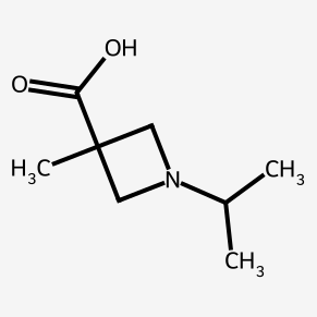 CC(C)N1CC(C)(C(=O)O)C1